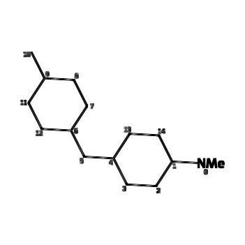 CNC1CCC(CC2CCC(C)CC2)CC1